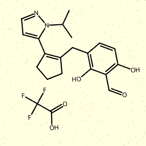 CC(C)n1nccc1C1=C(Cc2ccc(O)c(C=O)c2O)CCC1.O=C(O)C(F)(F)F